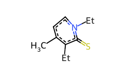 CCc1c(C)ccn(CC)c1=S